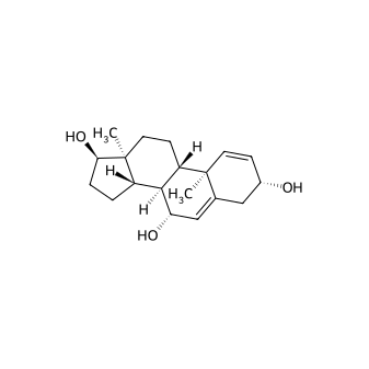 C[C@]12CC[C@H]3[C@@H]([C@@H](O)C=C4C[C@@H](O)C=C[C@@]43C)[C@@H]1CC[C@H]2O